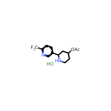 CC(=O)OC1CCNC(c2ccc(C(F)(F)F)nc2)C1.Cl